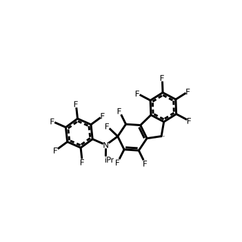 CC(C)N(c1c(F)c(F)c(F)c(F)c1F)C1(F)C(F)=C(F)C2=C(c3c(F)c(F)c(F)c(F)c3[CH]2)C1F